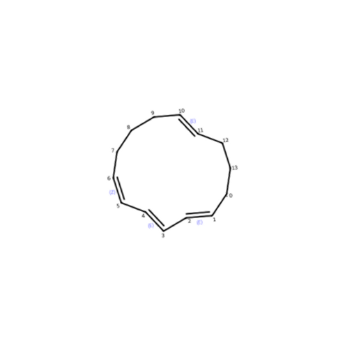 [CH]1/C=C/C=C/C=C\CCC/C=C/CC1